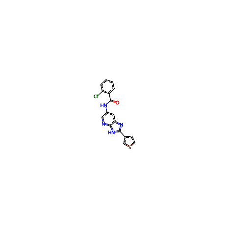 O=C(Nc1cnc2[nH]c(-c3ccsc3)nc2c1)c1ccccc1Cl